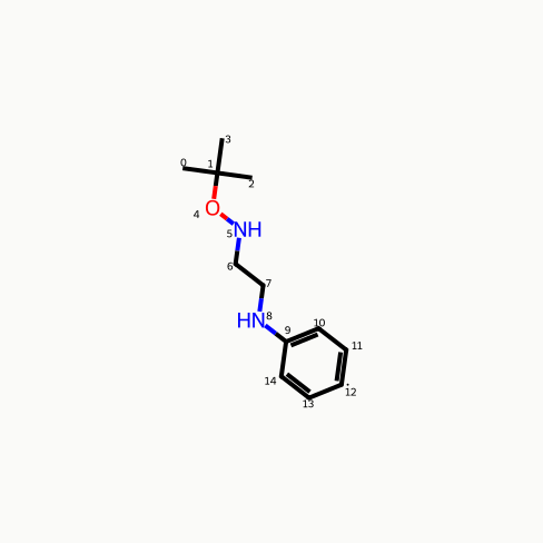 CC(C)(C)ONCCNc1cc[c]cc1